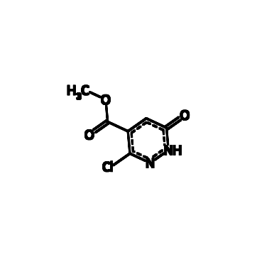 COC(=O)c1cc(=O)[nH]nc1Cl